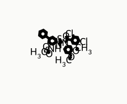 COc1ccc(N(C(=O)c2ccc(Cl)cc2Cl)c2nc3c(NS(C)(=O)=O)cc(-c4ccccc4)cc3s2)cc1OC